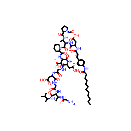 CCCCCCCCCCCC(=O)Nc1ccc(/C=C/C(=O)NC(CC(=O)O)C(=O)NC(C(=O)N2CCCCC2C(=O)NC(C(=O)NC(CC(=O)O)C(=O)NCC(=O)NC(CC(=O)O)C(=O)NCC(=O)NC(C(=O)NC(C)C(C)C)C(C)NC(=O)CN)C(C)C(=O)O)C(C)NC(=O)C2CCCN2C=O)cc1